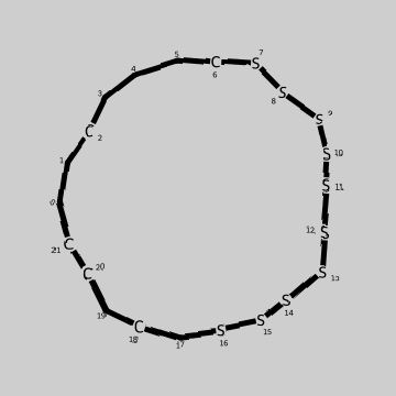 C1CCCCCCSSSSSSSSSSCCCCC1